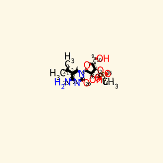 CC(C)c1cn([C@@H]2O[C@H](CO)[C@H](OS(C)(=O)=O)[C@H]2O)c(=O)nc1N